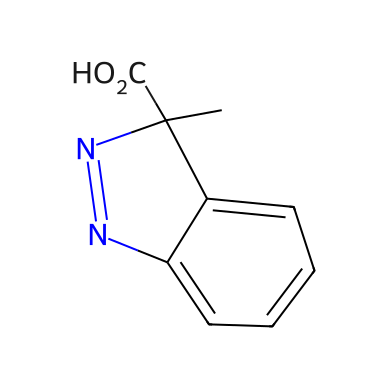 CC1(C(=O)O)N=Nc2ccccc21